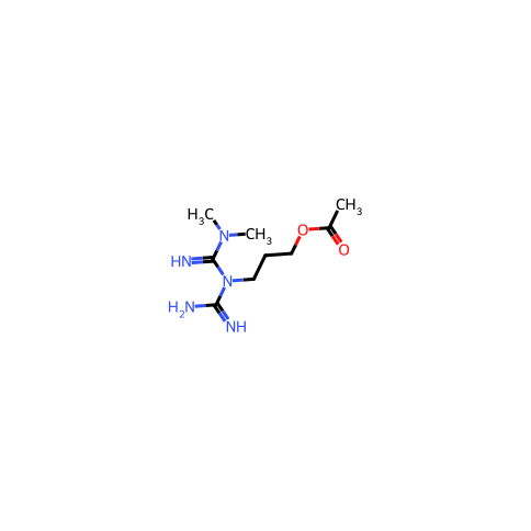 CC(=O)OCCCN(C(=N)N)C(=N)N(C)C